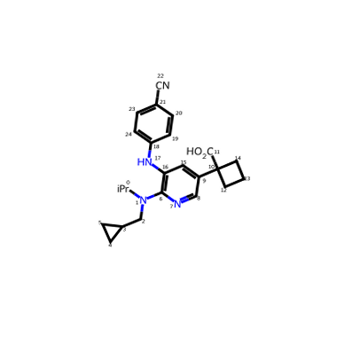 CC(C)N(CC1CC1)c1ncc(C2(C(=O)O)CCC2)cc1Nc1ccc(C#N)cc1